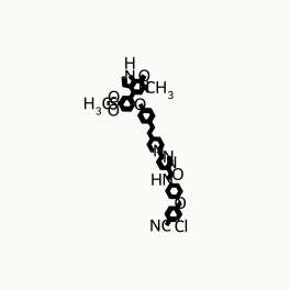 Cn1cc(-c2cc(S(C)(=O)=O)ccc2Oc2ccc(CCC3CCN(c4ccc(C(=O)N[C@H]5CC[C@H](Oc6ccc(C#N)c(Cl)c6)CC5)nn4)CC3)cc2)c2cc[nH]c2c1=O